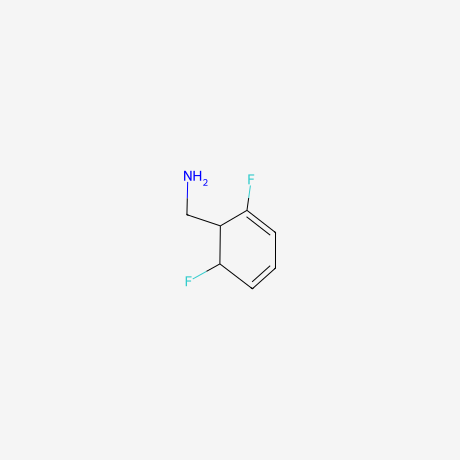 NCC1C(F)=CC=CC1F